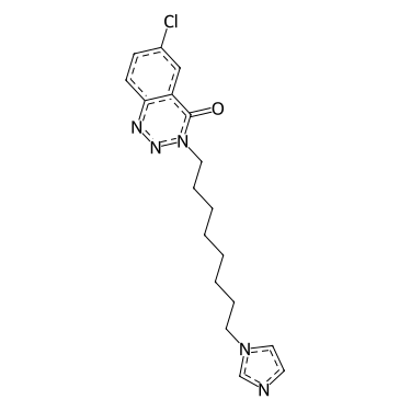 O=c1c2cc(Cl)ccc2nnn1CCCCCCCCn1ccnc1